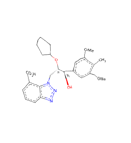 COc1cc([C@@H](O)[C@H](Cn2nnc3cccc(C(=O)O)c32)OC2CCCC2)cc(OC)c1C